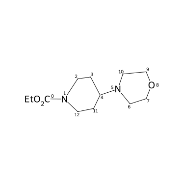 CCOC(=O)N1CCC(N2CCOCC2)CC1